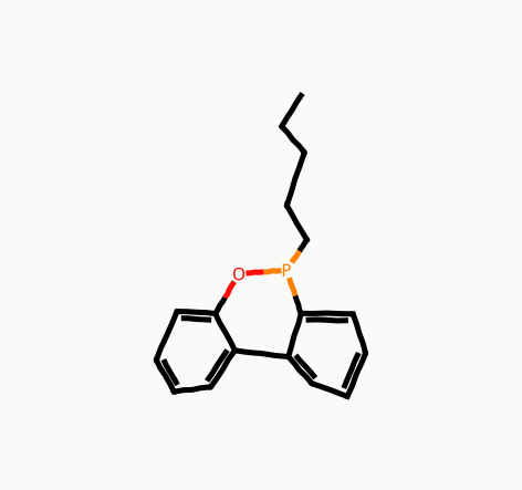 CCCCCP1Oc2ccccc2-c2ccccc21